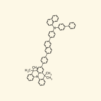 CC1(C)c2ccccc2N2c3ccccc3C(C)(C)c3cc(-c4ccc(-c5ccc6cc(-c7ccc(N(c8ccc(-c9ccccc9)cc8)c8cccc9ccccc89)cc7)ccc6c5)cc4)cc1c32